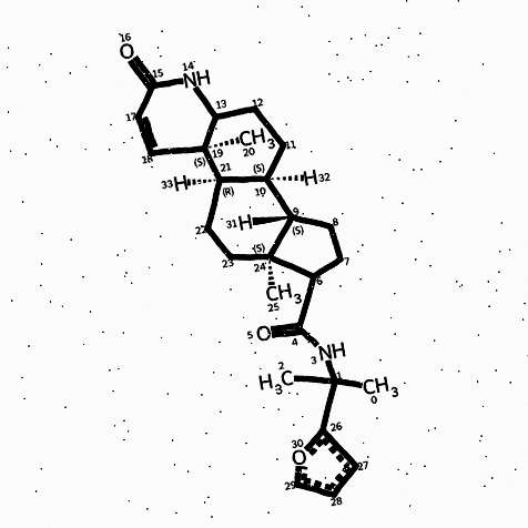 CC(C)(NC(=O)C1CC[C@H]2[C@@H]3CCC4NC(=O)C=C[C@]4(C)[C@@H]3CC[C@]12C)c1ccco1